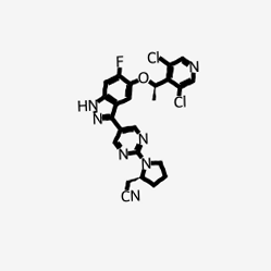 C[C@@H](Oc1cc2c(-c3cnc(N4CCC[C@H]4CC#N)nc3)n[nH]c2cc1F)c1c(Cl)cncc1Cl